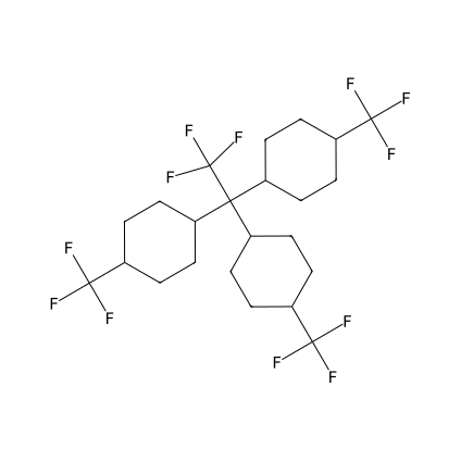 FC(F)(F)C1CCC(C(C2CCC(C(F)(F)F)CC2)(C2CCC(C(F)(F)F)CC2)C(F)(F)F)CC1